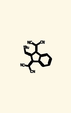 CC(C)(C)C=C1C(=C(C#N)C#N)c2ccccc2C1=C(C#N)C#N